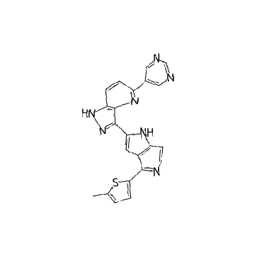 Cc1ccc(-c2nccc3[nH]c(-c4n[nH]c5ccc(-c6cncnc6)nc45)cc23)s1